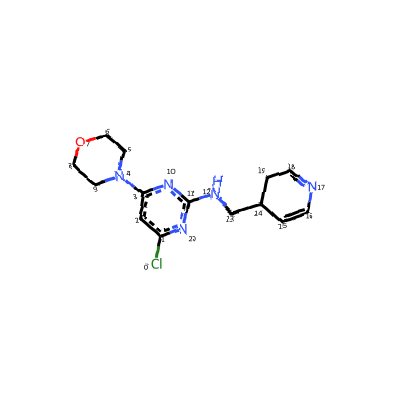 Clc1cc(N2CCOCC2)nc(NCC2C=CN=CC2)n1